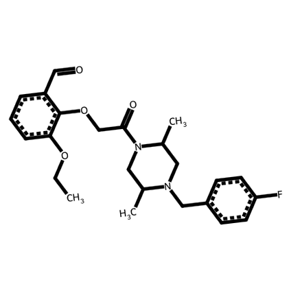 CCOc1cccc(C=O)c1OCC(=O)N1CC(C)N(Cc2ccc(F)cc2)CC1C